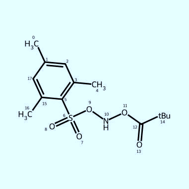 Cc1cc(C)c(S(=O)(=O)ONOC(=O)C(C)(C)C)c(C)c1